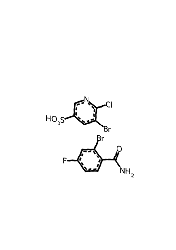 NC(=O)c1ccc(F)cc1Br.O=S(=O)(O)c1cnc(Cl)c(Br)c1